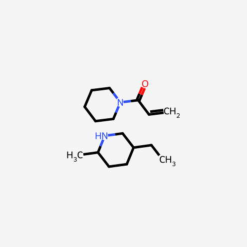 C=CC(=O)N1CCCCC1.CCC1CCC(C)NC1